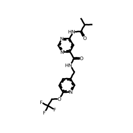 CC(C)C(=O)Nc1cc(C(=O)NCc2ccc(OCC(F)(F)F)nc2)ncn1